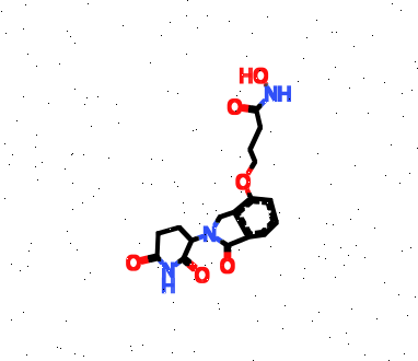 O=C(CCCOc1cccc2c1CN(C1CCC(=O)NC1=O)C2=O)NO